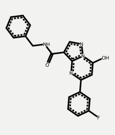 O=C(NCc1ccccc1)c1cnn2c(O)cc(-c3cccc(F)c3)nc12